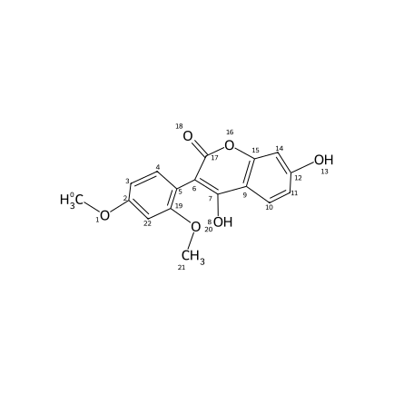 COc1ccc(-c2c(O)c3ccc(O)cc3oc2=O)c(OC)c1